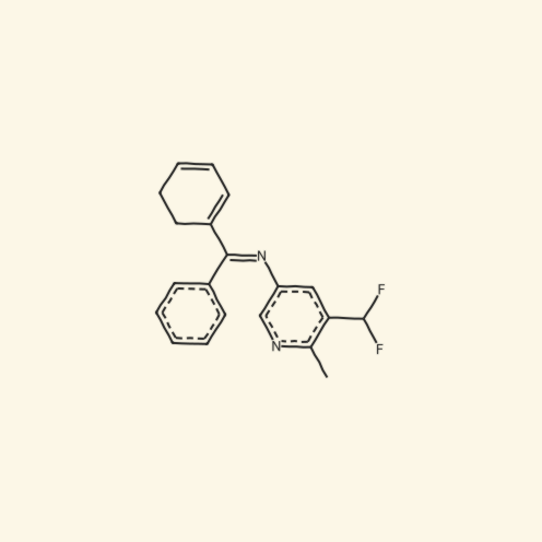 Cc1ncc(/N=C(/C2=CC=CCC2)c2ccccc2)cc1C(F)F